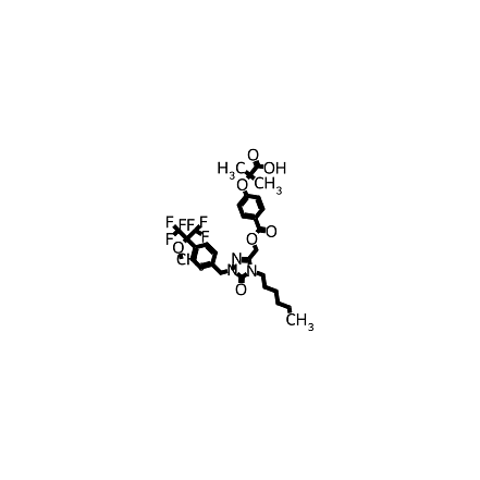 CCCCCCn1c(COC(=O)c2ccc(OC(C)(C)C(=O)O)cc2)nn(Cc2ccc(C(OC)(C(F)(F)F)C(F)(F)F)cc2)c1=O